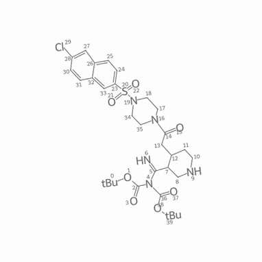 CC(C)(C)OC(=O)N(C(=N)C1CNCCC1CC(=O)N1CCN(S(=O)(=O)c2ccc3cc(Cl)ccc3c2)CC1)C(=O)OC(C)(C)C